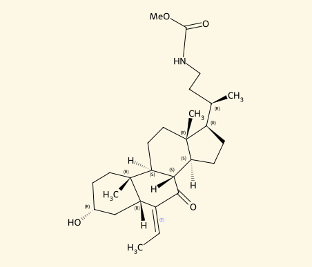 C/C=C1/C(=O)[C@@H]2[C@H](CC[C@]3(C)[C@@H]([C@H](C)CCNC(=O)OC)CC[C@@H]23)[C@@]2(C)CC[C@@H](O)C[C@@H]12